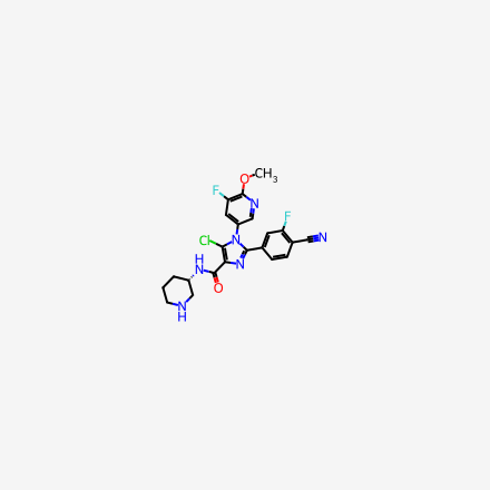 COc1ncc(-n2c(-c3ccc(C#N)c(F)c3)nc(C(=O)N[C@H]3CCCNC3)c2Cl)cc1F